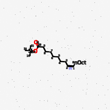 CCCCCCCC/C=C\CCCCCCCC(=O)O[Si](C)(C)C